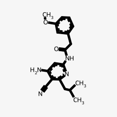 COc1cccc(CC(=O)Nc2cc(N)c(C#N)c(CC(C)C)n2)c1